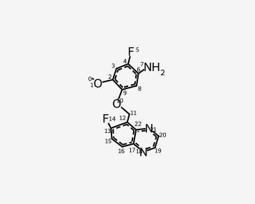 COc1cc(F)c(N)cc1OCc1c(F)ccc2nccnc12